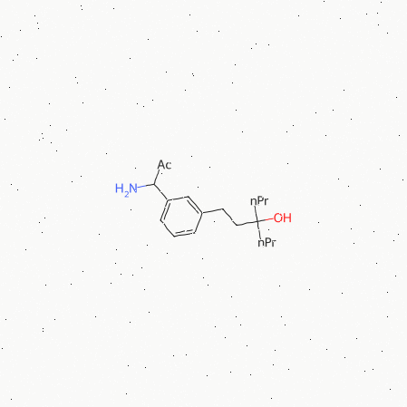 CCCC(O)(CCC)CCc1cccc(C(N)C(C)=O)c1